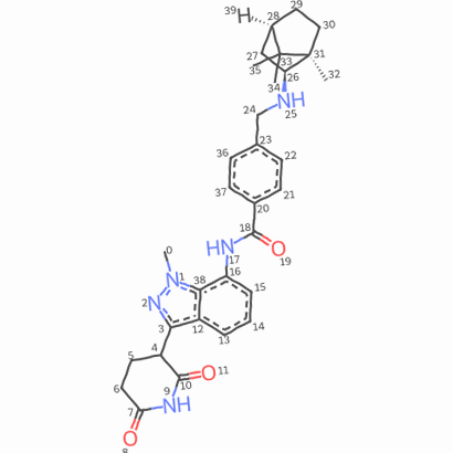 Cn1nc(C2CCC(=O)NC2=O)c2cccc(NC(=O)c3ccc(CN[C@H]4C[C@H]5CC[C@]4(C)C5(C)C)cc3)c21